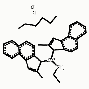 CCCCCC.CC[SiH2][Zr+2]([CH]1C(C)=Cc2c1ccc1ccccc21)[CH]1C(C)=Cc2c1ccc1ccccc21.[Cl-].[Cl-]